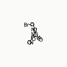 Brc1cccc(-c2ccn(-c3nc(N4CCOCC4)c4oc(-c5ccccn5)cc4n3)n2)c1